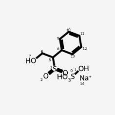 O=S(=O)(O)O.O=[S-](=O)C(CO)c1ccccc1.[Na+]